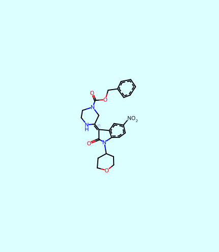 O=C(OCc1ccccc1)N1CCN/C(=C2\C(=O)N(C3CCOCC3)c3ccc([N+](=O)[O-])cc32)C1